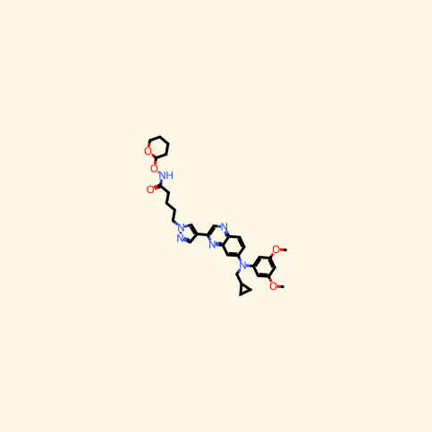 COc1cc(OC)cc(N(CC2CC2)c2ccc3ncc(-c4cnn(CCCCC(=O)NOC5CCCCO5)c4)nc3c2)c1